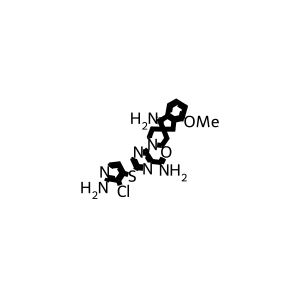 COc1cccc2c1CC1(CCN(c3ncc(Sc4ccnc(N)c4Cl)nc3C(N)=O)CC1)[C@@H]2N